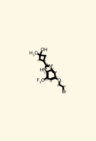 CC1(O)CC(c2nc3cc(OCCBr)cc(C(F)(F)F)c3[nH]2)C1